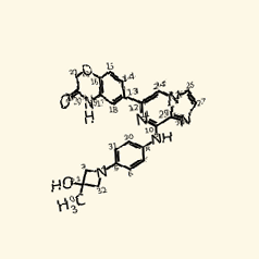 CC1(O)CN(c2ccc(Nc3nc(-c4ccc5c(c4)NC(=O)CO5)cn4ccnc34)cc2)C1